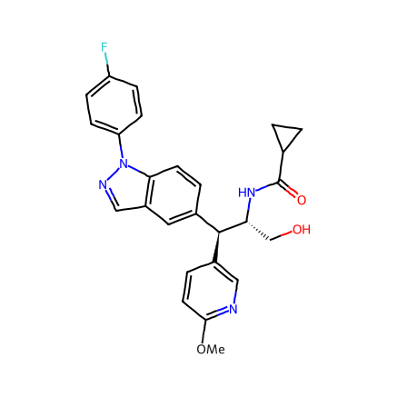 COc1ccc([C@@H](c2ccc3c(cnn3-c3ccc(F)cc3)c2)[C@@H](CO)NC(=O)C2CC2)cn1